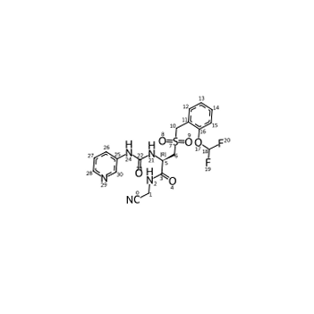 N#CCNC(=O)[C@H](CS(=O)(=O)Cc1ccccc1OC(F)F)NC(=O)Nc1cccnc1